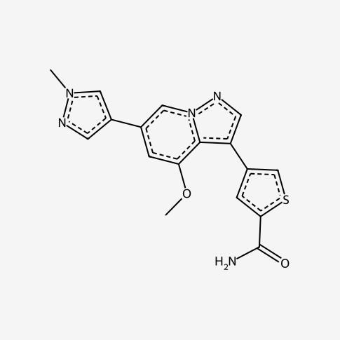 COc1cc(-c2cnn(C)c2)cn2ncc(-c3csc(C(N)=O)c3)c12